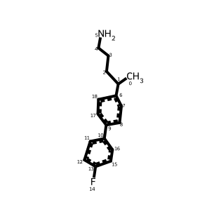 CC(CCCN)c1ccc(-c2ccc(F)cc2)cc1